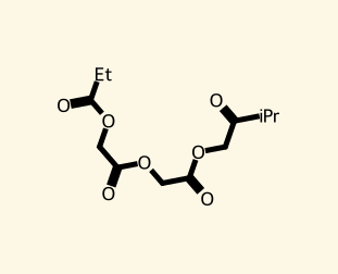 CCC(=O)OCC(=O)OCC(=O)OCC(=O)C(C)C